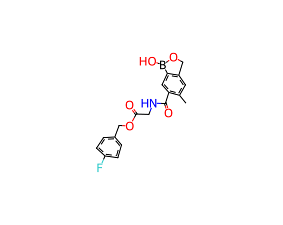 Cc1cc2c(cc1C(=O)NCC(=O)OCc1ccc(F)cc1)B(O)OC2